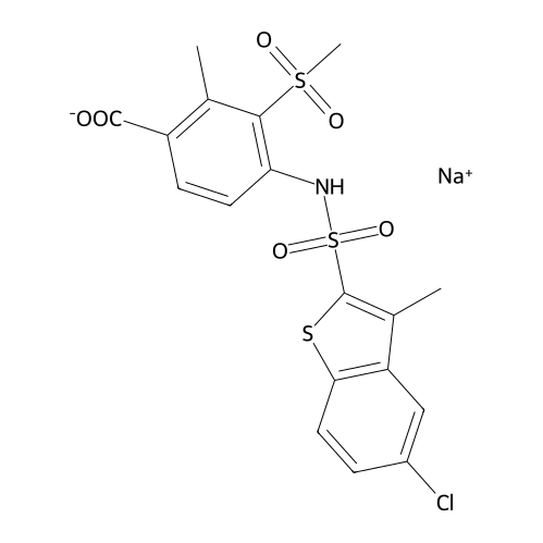 Cc1c(C(=O)[O-])ccc(NS(=O)(=O)c2sc3ccc(Cl)cc3c2C)c1S(C)(=O)=O.[Na+]